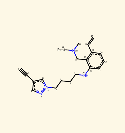 C#Cc1cnn(CCCCNc2cccc(C=C)c2CN(C)C(C)CCC)c1